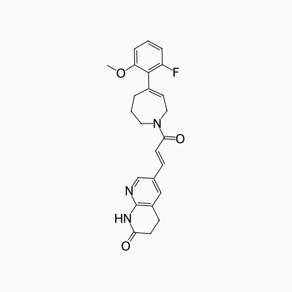 COc1cccc(F)c1C1=CCN(C(=O)/C=C/c2cnc3c(c2)CCC(=O)N3)CCC1